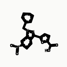 O=C(O)c1ccc(-c2nn(Cc3ccccc3)c3cc([N+](=O)[O-])ccc23)o1